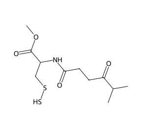 COC(=O)C(CSS)NC(=O)CCC(=O)C(C)C